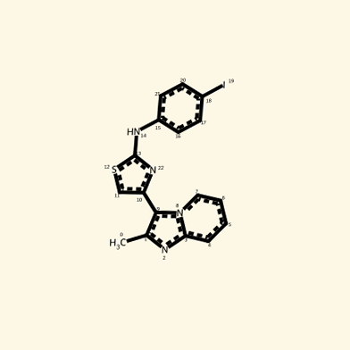 Cc1nc2ccccn2c1-c1csc(Nc2ccc(I)cc2)n1